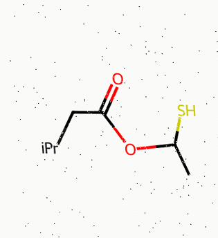 CC(C)CC(=O)OC(C)S